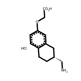 Cl.NC[C@@H]1CCc2ccc(OCC(=O)O)cc2C1